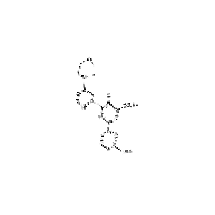 CCOC(=O)c1cc(-c2cccc(OC)c2)nn(-c2cc(N3CCOCC3)ccn2)c1=O